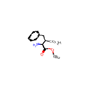 CC(C)(C)OC(=O)C(N)C(Cc1ccccc1)C(=O)O